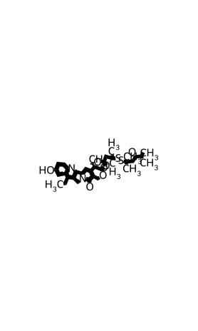 CCc1c2c(nc3ccc(O)cc13)-c1cc3c(c(=O)n1C2)COC(=O)[C@@]3(CC)OC(=O)CC(C)(C)SSC(C)(C)CC(=O)C(C)C